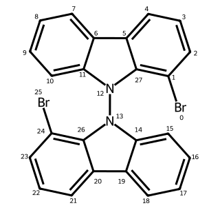 Brc1cccc2c3ccccc3n(-n3c4ccccc4c4cccc(Br)c43)c12